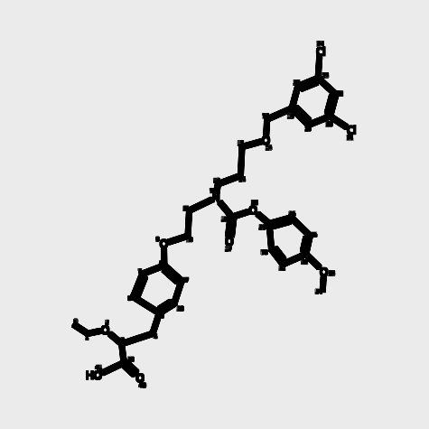 CCOC(Cc1ccc(OCCN(CCCOCc2cc(Cl)cc(Cl)c2)C(=O)Oc2ccc(OC)cc2)cc1)C(=O)O